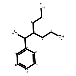 OCCC(CCO)C(O)c1ccncc1